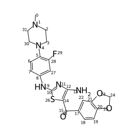 CN1CCN(c2ccc(Nc3nc(N)c(C(=O)c4ccc5c(c4)OCO5)s3)cc2F)CC1